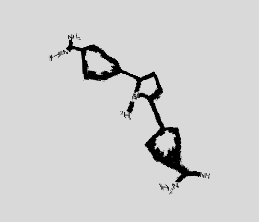 [2H]N1C(c2ccc(C(=N)N)cc2)CCC1c1ccc(C(=N)N)cc1